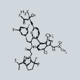 Cn1nc(N[S+](C)[O-])c2c(Cl)ccc(-c3ccc(C#CC(C)(O)C(F)F)nc3C(Cc3cc(F)cc(F)c3)NC(=O)Cn3nc(C(F)F)c4c3C(F)(F)CC4)c21